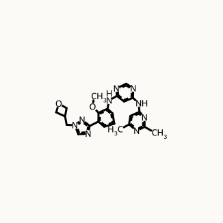 COc1c(Nc2cc(Nc3cc(C)nc(C)n3)ncn2)cccc1-c1ncn(CC2COC2)n1